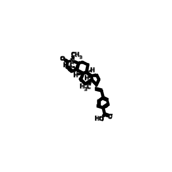 CN1C(=O)C=C[C@@]2(C)C1CC[C@H]1[C@@H]3CC[C@H](C=Cc4ccc(C(=O)O)cc4)[C@@]3(C)CC[C@@H]12